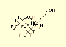 O=S(=O)(O)C(F)(F)C(F)(F)C(F)(F)F.O=S(=O)(O)C(F)(F)C(F)(F)C(F)(F)F.OCCCCO